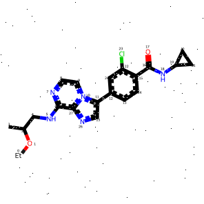 CCOC(C)CNc1nccn2c(-c3ccc(C(=O)NC4CC4)c(Cl)c3)cnc12